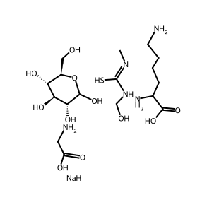 CN=C(S)NCO.NCC(=O)O.NCCCCC(N)C(=O)O.OC[C@H]1OC(O)[C@H](O)[C@@H](O)[C@@H]1O.[NaH]